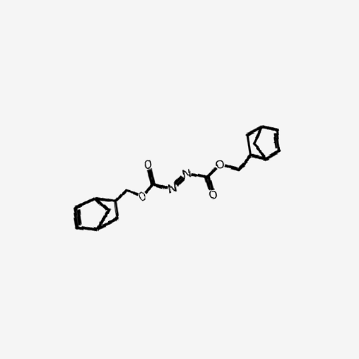 O=C(N=NC(=O)OCC1CC2C=CC1C2)OCC1CC2C=CC1C2